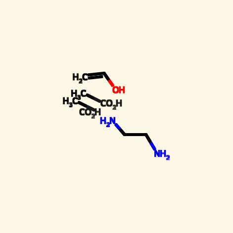 C=CO.CC(=O)O.CC(=O)O.NCCN